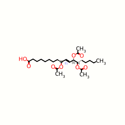 CCCCC[C@H](OC(C)=O)[C@H](/C=C/[C@H](CCCCCCCC(=O)O)OC(C)=O)OC(C)=O